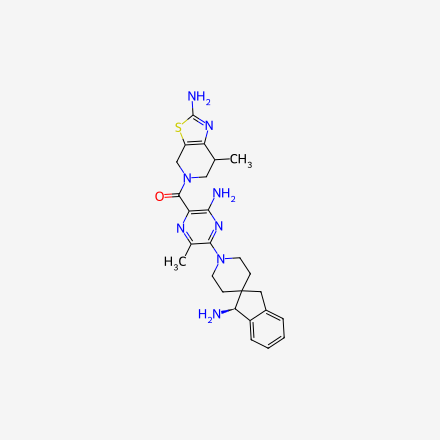 Cc1nc(C(=O)N2Cc3sc(N)nc3C(C)C2)c(N)nc1N1CCC2(CC1)Cc1ccccc1[C@H]2N